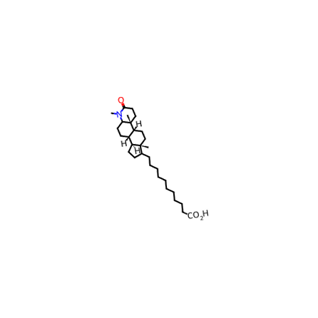 CN1C(=O)CC[C@@]2(C)C1CC[C@@H]1[C@H]2CC[C@]2(C)C(CCCCCCCCCCC(=O)O)CC[C@@H]12